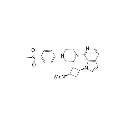 CN[C@H]1C[C@@H](n2ccc3ccnc(N4CCN(c5ccc(S(C)(=O)=O)cc5)CC4)c32)C1